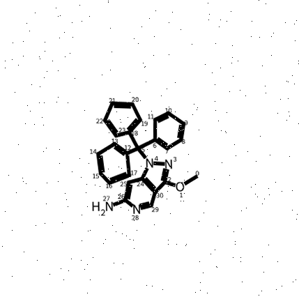 COc1nn(C(c2ccccc2)(c2ccccc2)c2ccccc2)c2cc(N)ncc12